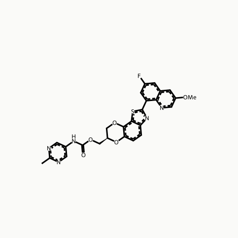 COc1cnc2c(-c3nc4ccc5c(c4s3)OC[C@H](COC(=O)Nc3cnc(C)nc3)O5)cc(F)cc2c1